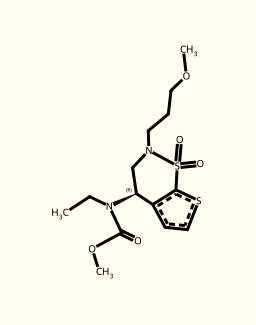 CCN(C(=O)OC)[C@H]1CN(CCCOC)S(=O)(=O)c2sccc21